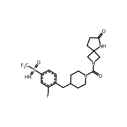 N=S(=O)(c1ccc(CC2CCN(C(=O)N3CC4(CCC(=O)N4)C3)CC2)c(F)c1)C(F)(F)F